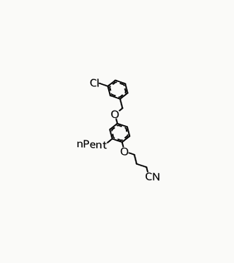 CCCCCc1cc(OCc2cccc(Cl)c2)ccc1OCCCC#N